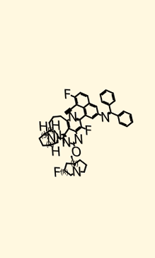 C#Cc1c(F)ccc2cc(N=C(c3ccccc3)c3ccccc3)cc(-c3nc4c5c(nc(OC[C@@]67CCCN6C[C@H](F)C7)nc5c3F)N3C[C@H]5CC[C@H](N5)[C@H]3CCC4)c12